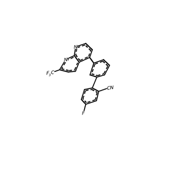 N#Cc1cc(F)ccc1-c1cccc(-c2ccnc3nc(C(F)(F)F)ccc23)c1